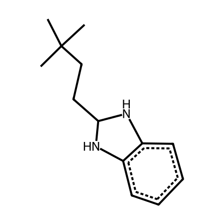 CC(C)(C)CCC1Nc2ccccc2N1